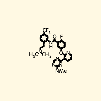 CNc1ncnc(-c2cccnc2Oc2ccc(F)c(C(=O)Nc3cc(C(F)(F)F)ccc3CCN(C)C)c2)n1